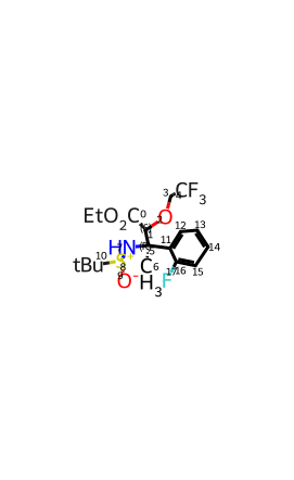 CCOC(=O)[C@@H](OCC(F)(F)F)[C@](C)(N[S+]([O-])C(C)(C)C)c1ccccc1F